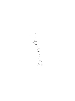 CC(C)(c1ccc(OC[C@H](O)CN(N)/C=C(\N)CSF)cc1)c1ccc(OCC(O)CCl)c(Cl)c1